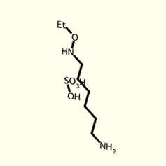 CCONCCCCCCN.O=S(=O)(O)O